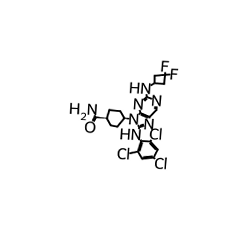 NC(=O)[C@H]1CC[C@@H](n2c(Nc3c(Cl)cc(Cl)cc3Cl)nc3cnc(NC4CC(F)(F)C4)nc32)CC1